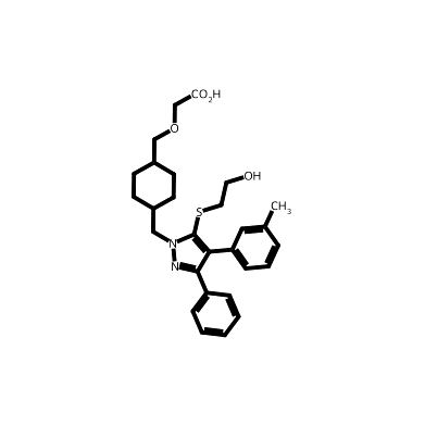 Cc1cccc(-c2c(-c3ccccc3)nn(CC3CCC(COCC(=O)O)CC3)c2SCCO)c1